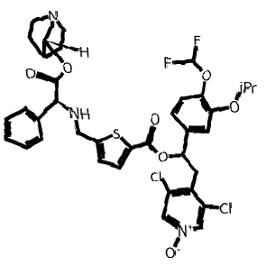 CC(C)Oc1cc(C(Cc2c(Cl)c[n+]([O-])cc2Cl)OC(=O)c2ccc(CN[C@H](C(=O)O[C@H]3CN4CCC3CC4)c3ccccc3)s2)ccc1OC(F)F